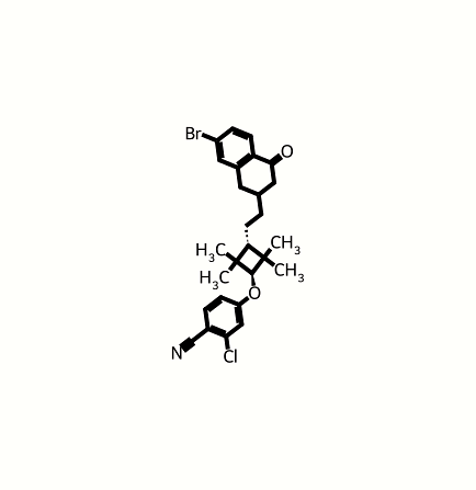 CC1(C)[C@H](CCC2CC(=O)c3ccc(Br)cc3C2)C(C)(C)[C@H]1Oc1ccc(C#N)c(Cl)c1